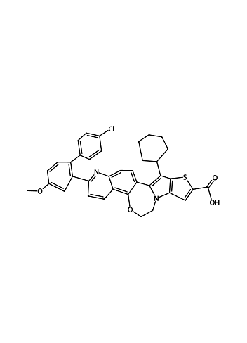 COc1ccc(-c2ccc(Cl)cc2)c(-c2ccc3c4c(ccc3n2)-c2c(C3CCCCC3)c3sc(C(=O)O)cc3n2CCO4)c1